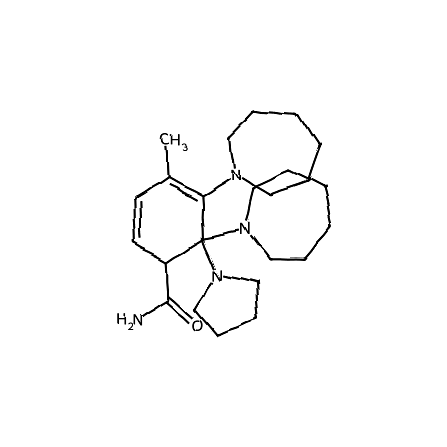 CC1=C(N2CCCCCC2)C(N2CCCCCC2)(N2CCCC2)C(C(N)=O)C=C1